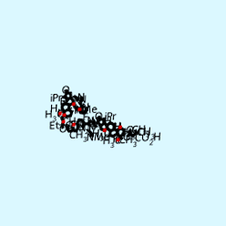 CC[C@H](CC[C@@]1(C)[C@H](C)CC[C@]2(C)[C@@H]1CC[C@@H]1C3=C(C(C)C)C(=O)C[C@]3(Cc3nnc(-c4ncc(F)cn4)n3CCNC)CC[C@]12C)OC(=O)CC(C)(Cc1nc(-c2nnc(C[C@@]34CC[C@]5(C)[C@H](CC[C@@H]6[C@@]7(C)CC[C@H](OC(=O)CC(C)(C)C(=O)O)C(C)(C)[C@@H]7CC[C@]65C)C3=C(C(C)C)C(=O)C4)n2CCNC)ccc1F)C(=O)O